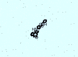 CN1C(=O)Cc2cnc(Nc3ccc(S(=O)(=O)NCC4CCCCC4)cc3)nc2-c2ccccc21